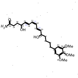 COc1cc(CCCCC(O)/C=C/C=C\C=C\C(O)CCC(N)=O)cc(OC)c1OC